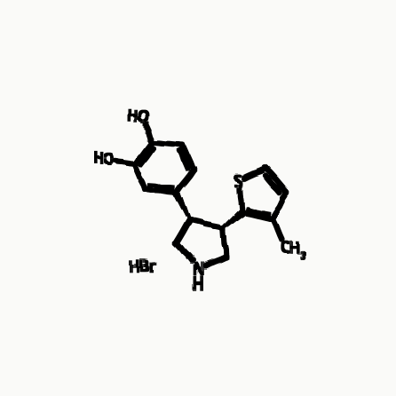 Br.Cc1ccsc1[C@H]1CNC[C@H]1c1ccc(O)c(O)c1